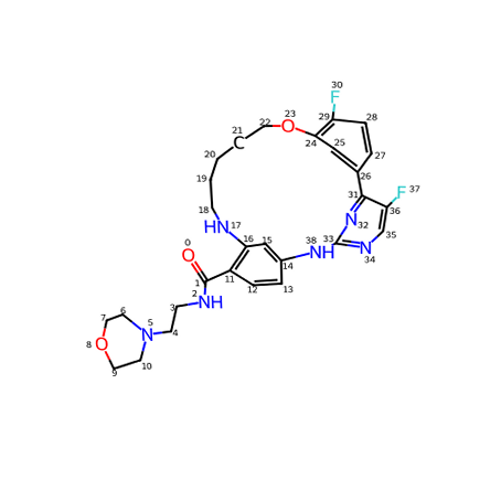 O=C(NCCN1CCOCC1)c1ccc2cc1NCCCCCOc1cc(ccc1F)-c1nc(ncc1F)N2